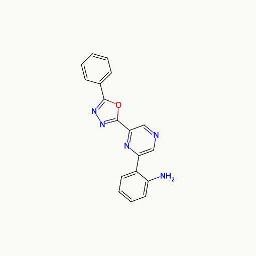 Nc1ccccc1-c1cncc(-c2nnc(-c3ccccc3)o2)n1